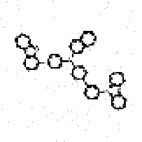 c1cc(-c2ccc(N(c3ccc(-c4cccc5c4oc4ccccc45)cc3)c3ccc4ccccc4c3)cc2)cc(-n2c3ccccc3c3ccccc32)c1